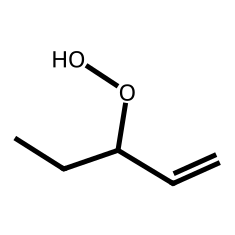 C=CC(CC)OO